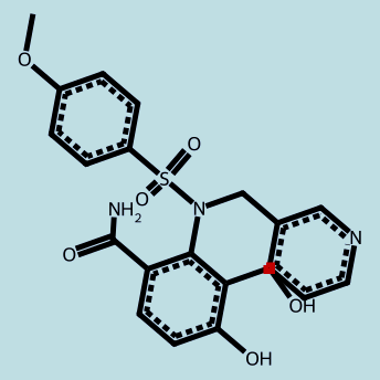 COc1ccc(S(=O)(=O)N(Cc2cccnc2)c2c(C(N)=O)ccc(O)c2CO)cc1